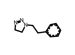 c1ccc(CCN2CCN=N2)cc1